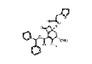 CO[C@H]1S[C@H]2[C@@H](NC(=O)Cc3cccs3)C(=O)N2C(C(=O)OC(c2ccccc2)c2ccccc2)=C1C